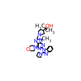 Cn1c(CN2CCC(C(C)(C)O)CC2)nc2c(N3CCOCC3)nc(-n3c(N4CCCC4)nc4ccccc43)nc21